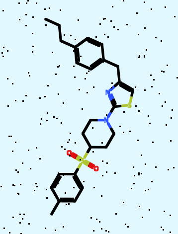 CCCc1ccc(Cc2csc(N3CCC(S(=O)(=O)c4ccc(C)cc4)CC3)n2)cc1